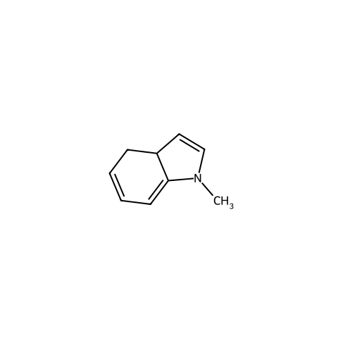 CN1C=CC2CC=CC=C21